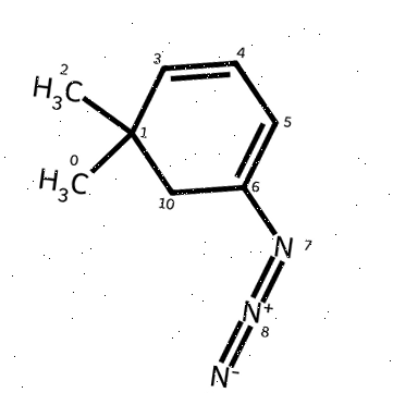 CC1(C)C=CC=C(N=[N+]=[N-])C1